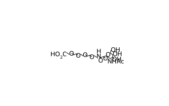 CC(=O)NC1C(OCC(=O)NCCOCCOCCOCCOCCC(=O)O)OC(CO)C(O)C1O